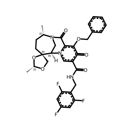 C[C@H]1OC[C@]2(CC[C@H](C)N3C[C@H]2n2cc(C(=O)NCc4c(F)cc(F)cc4F)c(=O)c(OCc4ccccc4)c2C3=O)O1